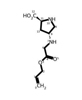 C=CCOC(=O)CN[C@H]1CN[C@H](C(=O)O)C1